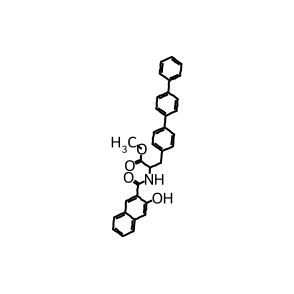 COC(=O)C(Cc1ccc(-c2ccc(-c3ccccc3)cc2)cc1)NC(=O)c1cc2ccccc2cc1O